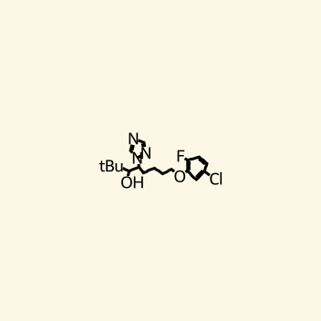 CC(C)(C)C(O)C(CCCCOc1cc(Cl)ccc1F)n1cncn1